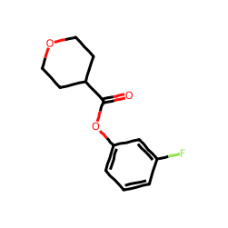 O=C(Oc1cccc(F)c1)C1CCOCC1